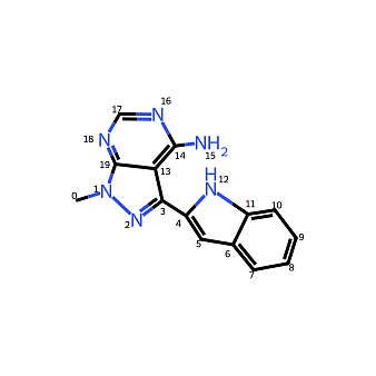 Cn1nc(-c2cc3ccccc3[nH]2)c2c(N)ncnc21